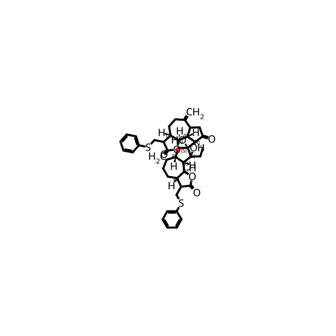 C=C1CC[C@H]2C(CSc3ccccc3)C(=O)O[C@@H]2[C@@H]2C1CC(=O)[C@]21CC[C@]2(O)[C@@H]3[C@H]4OC(=O)C(CSc5ccccc5)[C@@H]4CCC(=C)[C@@H]3C[C@@]21O